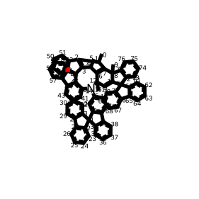 CC1C2=C3C(C)C4=C1C1(C)C(=CC4(C)N(c4ccc5c(c4)C4(c6ccccc6-c6ccccc64)c4ccccc4-5)c4cccc5c4C3(c3ccccc32)c2ccccc2-5)C2(c3ccccc3-c3ccccc32)c2ccccc21